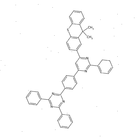 CC1(C)c2ccccc2Sc2ccc(-c3cc(-c4ccc(-c5nc(-c6ccccc6)nc(-c6ccccc6)n5)cc4)nc(C4=CC=CCC4)n3)cc21